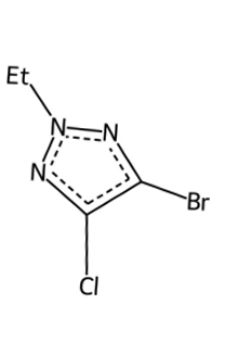 CCn1nc(Cl)c(Br)n1